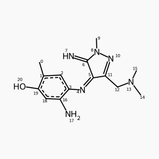 Cc1cc(N=C2C(=N)N(C)N=C2CN(C)C)c(N)cc1O